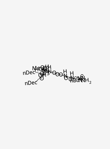 CCCCCCCCCCCCCCCC(=O)CC[C@H](CSCC(NC(=S)NCCCOCCOCCOCCCNC(=O)CCCC(=O)NCc1ccc(Cn2c(CCCC)nc3c(N)nc4ccccc4c32)cc1)C(=O)N[C@@H](CO)C(=O)OC)OC(=O)CCCCCCCCCCCCCCC